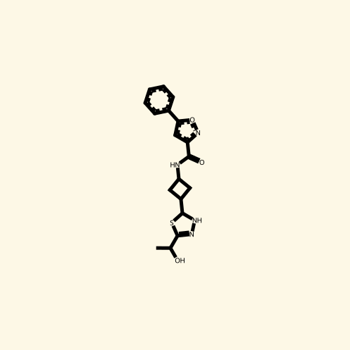 CC(O)C1=NNC(C2CC(NC(=O)c3cc(-c4ccccc4)on3)C2)S1